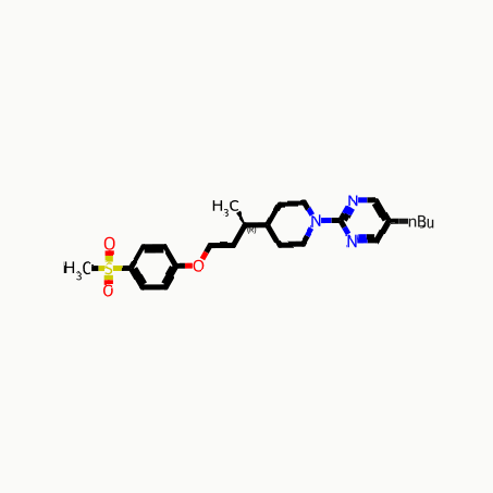 CCCCc1cnc(N2CCC([C@H](C)CCOc3ccc(S(C)(=O)=O)cc3)CC2)nc1